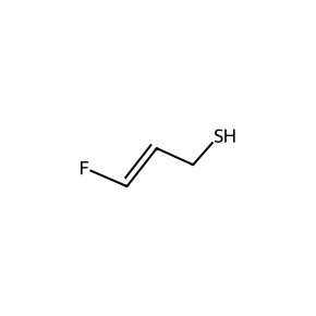 FC=CCS